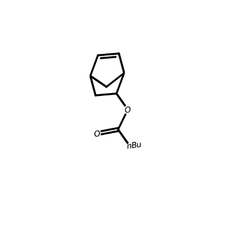 CCCCC(=O)OC1CC2C=CC1C2